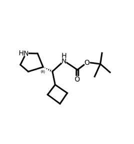 CC(C)(C)OC(=O)NC(C1CCC1)[C@@H]1CCNC1